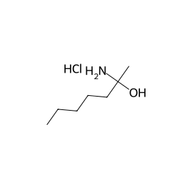 CCCCCC(C)(N)O.Cl